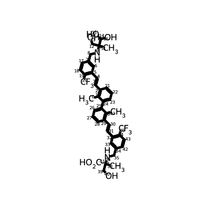 Cc1c(/C=C/c2cc(CNC(C)(CO)C(O)O)ccc2C(F)(F)F)cccc1-c1cccc(/C=C/c2cc(CN[C@@](C)(CO)C(=O)O)ccc2C(F)(F)F)c1C